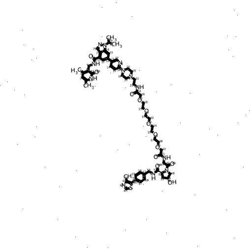 Cc1cc(C)c(CNC(=O)c2cc(-c3ccc(N4CCN(CCNC(=O)COCCOCCOCCOCCOCC(=O)NCC(=O)N5C[C@H](O)C[C@H]5C(=O)NCc5ccc(-c6scnc6C)cc5)CC4)nc3)cc3c2cnn3C(C)C)c(=O)[nH]1